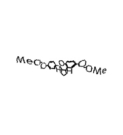 COCOc1ccc([C@H]2Oc3ccc(OCOC)cc3[C@H]3CCC[C@H]32)cc1